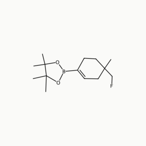 CC1(CF)CC=C(B2OC(C)(C)C(C)(C)O2)CC1